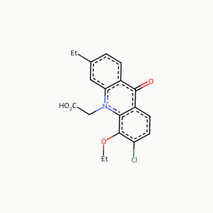 CCOc1c(Cl)ccc2c(=O)c3ccc(CC)cc3n(CC(=O)O)c12